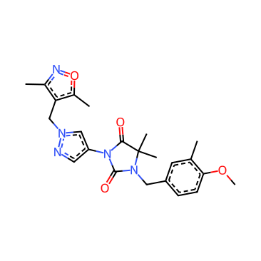 COc1ccc(CN2C(=O)N(c3cnn(Cc4c(C)noc4C)c3)C(=O)C2(C)C)cc1C